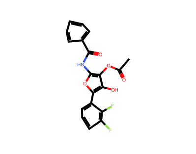 CC(=O)Oc1c(NC(=O)c2ccccc2)oc(-c2cccc(F)c2F)c1O